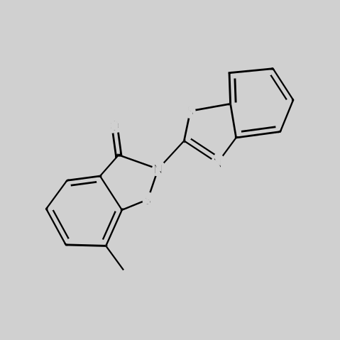 Cc1cccc2c(=O)n(-c3nc4ccccc4s3)sc12